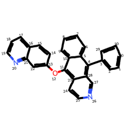 c1ccc(-c2c3ccccc3c(Oc3ccc4cccnc4c3)c3ccncc23)cc1